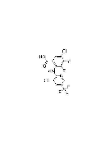 O=C(O)c1cc(Cl)c(F)c(F)c1Nc1ncc(C(F)(F)F)cc1Cl